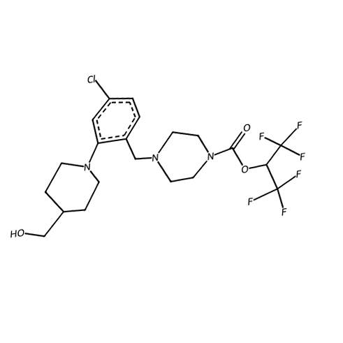 O=C(OC(C(F)(F)F)C(F)(F)F)N1CCN(Cc2ccc(Cl)cc2N2CCC(CO)CC2)CC1